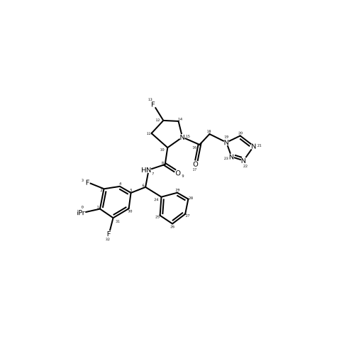 CC(C)c1c(F)cc(C(NC(=O)C2CC(F)CN2C(=O)Cn2cnnn2)c2ccccc2)cc1F